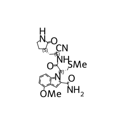 COc1cccc2c1cc(C(N)=O)n2[C@@H](CSC)C(=O)N[C@H](C#N)C[C@@H]1CCNC1=O